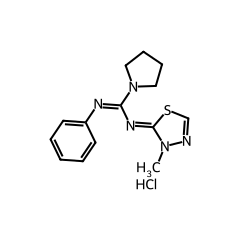 Cl.Cn1ncsc1=NC(=Nc1ccccc1)N1CCCC1